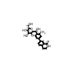 Cc1cc(-c2ccc3cc[nH]c(=O)c3c2)ccc1[C@@H](O)[C@H]1O[C@H](CO)[C@@H](O)C(O)C1O